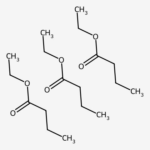 CCCC(=O)OCC.CCCC(=O)OCC.CCCC(=O)OCC